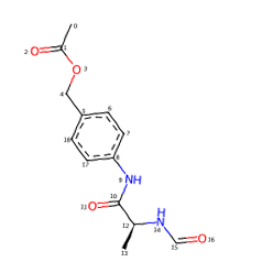 CC(=O)OCc1ccc(NC(=O)[C@H](C)NC=O)cc1